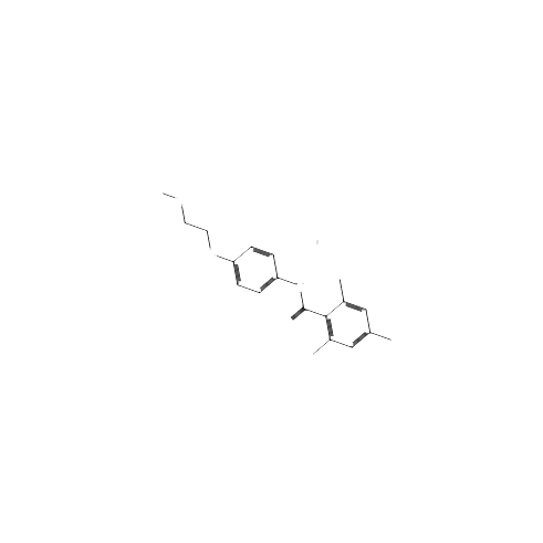 CCOCCOc1ccc(PC(=O)c2c(C)cc(C)cc2C)cc1.[LiH]